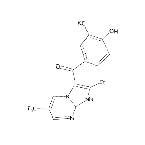 CCC1=C(C(=O)c2ccc(O)c(C#N)c2)N2C=C(C(F)(F)F)C=NC2N1